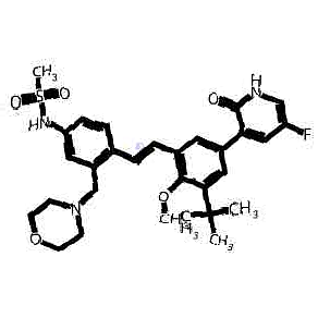 COc1c(/C=C/c2ccc(NS(C)(=O)=O)cc2CN2CCOCC2)cc(-c2cc(F)c[nH]c2=O)cc1C(C)(C)C